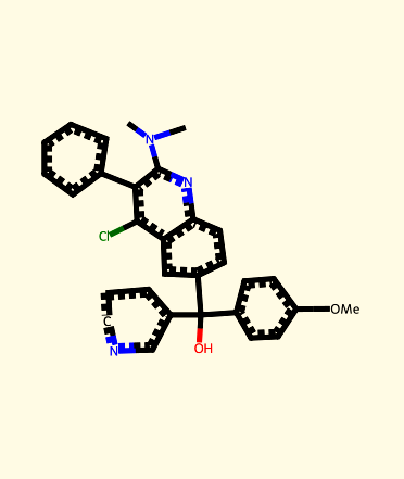 COc1ccc(C(O)(c2cccnc2)c2ccc3nc(N(C)C)c(-c4ccccc4)c(Cl)c3c2)cc1